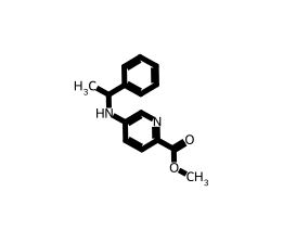 COC(=O)c1ccc(NC(C)c2ccccc2)cn1